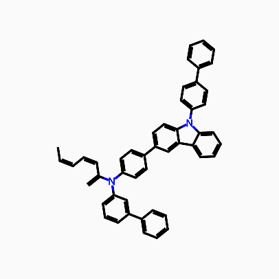 C=C(/C=C\C=C/C)N(c1ccc(-c2ccc3c(c2)c2ccccc2n3-c2ccc(-c3ccccc3)cc2)cc1)c1cccc(-c2ccccc2)c1